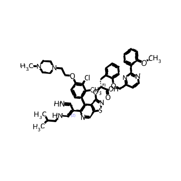 COc1ccccc1-c1nccc(COc2ccccc2C[C@@H](Oc2nsc3cnc(/C(C=N)=C/NCC(C)C)c(-c4ccc(OCCN5CCN(C)CC5)c(Cl)c4C)c23)C(=O)O)n1